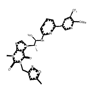 COc1ncc(-c2cccc(NC(O)[C@H](C)n3cnc4c3c(=O)n(Cc3cc(C)on3)c(=O)n4C)n2)cc1C(F)(F)F